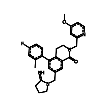 COc1ccnc(CN2CCc3c(cc(CN4CCCC4=N)cc3-c3ccc(F)cc3C)C2=O)c1